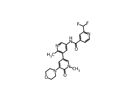 Cc1ncc(NC(=O)c2ccnc(C(F)F)c2)cc1-c1cc(N2CCOCC2)c(=O)n(C)c1